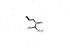 C=CCN(C(C)C)C(CCCC)S(=O)(=O)O